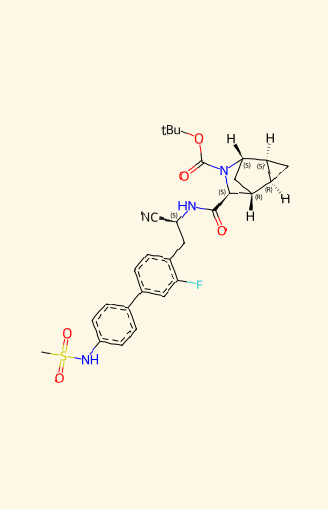 CC(C)(C)OC(=O)N1[C@H](C(=O)N[C@H](C#N)Cc2ccc(-c3ccc(NS(C)(=O)=O)cc3)cc2F)[C@@H]2C[C@H]1[C@H]1C[C@@H]21